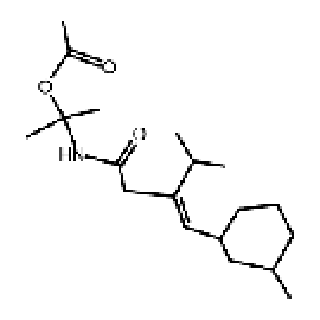 CC(=O)OC(C)(C)NC(=O)CC(=CC1CCCC(C)C1)C(C)C